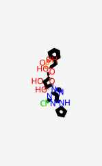 O=P(O)(O)C(Cc1ccccc1)OC[C@H]1O[C@@H](n2cnc3c(NC4CCCC4)nc(Cl)nc32)[C@H](O)[C@@H]1O